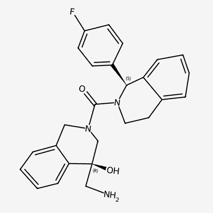 NC[C@@]1(O)CN(C(=O)N2CCc3ccccc3[C@@H]2c2ccc(F)cc2)Cc2ccccc21